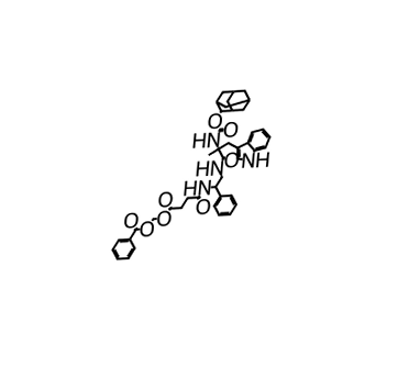 CC(Cc1c[nH]c2ccccc12)(NC(=O)OC1C2CC3CC(C2)CC1C3)C(=O)NCC(NC(=O)CCC(=O)OCOC(=O)c1ccccc1)c1ccccc1